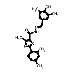 Cc1ccc(-c2nc(C)c(C(=O)N/N=C/c3cc(C)c(O)c(C)c3)s2)c(C)c1